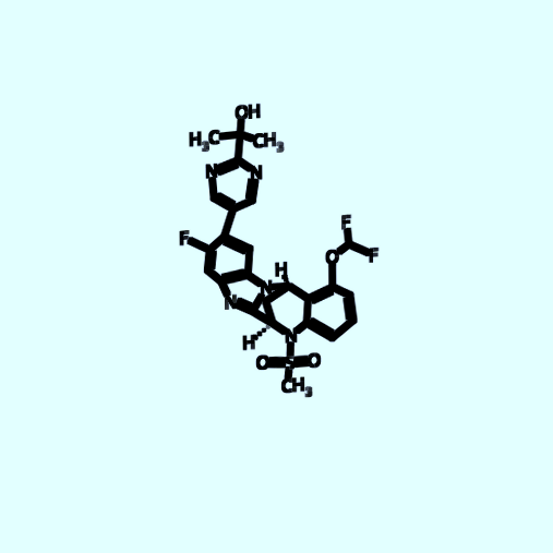 CC(C)(O)c1ncc(-c2cc3c(cc2F)nc2n3[C@@H]3C[C@H]2N(S(C)(=O)=O)c2cccc(OC(F)F)c23)cn1